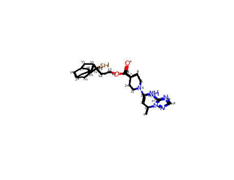 CC1C=C(N2CCC(C(=O)OCCC3(S)C4CC5CC(C4)CC3C5)CC2)Nc2ncnn21